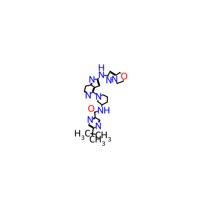 CC(C)(C)c1cnc(C(=O)NC2CCCN(C3=C4C=C(Nc5cc6n(n5)CCOC6)N=C4CC=N3)C2)cn1